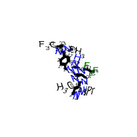 Cc1cnn(C(C)C)c1-c1ncc2c(n1)n(Cc1ccc(-c3nc(C(F)(F)F)cn3C)cc1)c(=N)n2C(F)C(F)F